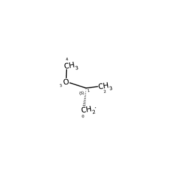 [CH2][C@@H](C)OC